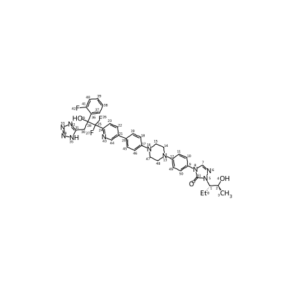 CC[C@@H]([C@H](C)O)n1ncn(-c2ccc(N3CCN(c4ccc(-c5ccc(C(F)(F)C(O)(Cc6nnn[nH]6)c6ccccc6F)nc5)cc4)CC3)cc2)c1=O